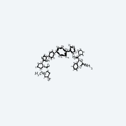 CN1C[C@H](F)C[C@H]1C(=O)N1CCC[C@H]1c1ncc(-c2ccc(-c3ccc(-c4cnc([C@@H]5CCCN5C(=O)[C@H](OC(N)=O)c5ccccc5)[nH]4)cc3)cc2)[nH]1